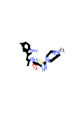 CCN1CCN(c2nnc(C(=O)NC(C)Cc3c[nH]c4ccccc34)s2)CC1